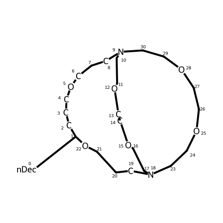 CCCCCCCCCCC1CCCOCCCN2CCOCCOCCN(CCCO1)CCOCCOCC2